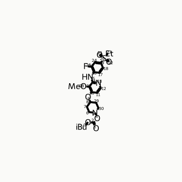 CCC(C)OC(=O)ON1CCC(Oc2ccnc(Nc3ccc(S(=O)(=O)CC)cc3F)c2OC)CC1